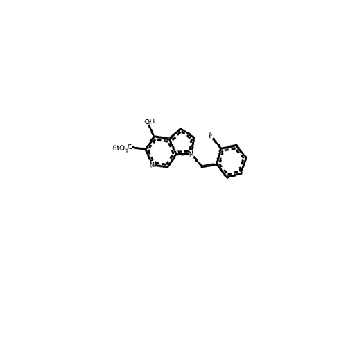 CCOC(=O)c1ncc2c(ccn2Cc2ccccc2F)c1O